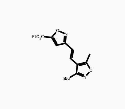 CCCCc1noc(C)c1C=Cc1cc(C(=O)OCC)on1